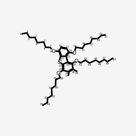 CCCCCCCCOc1ccc(OCCCCCCCC)c2c1sc1c(OCCCCCCCC)c(C)c(C)c(OCCCCCCCC)c12